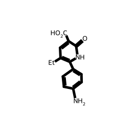 CCc1cc(C(=O)O)c(=O)[nH]c1-c1ccc(N)cc1